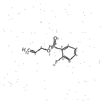 C=CCO[PH](=O)c1ccccc1F